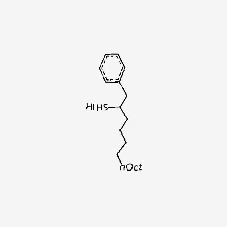 CCCCCCCCCCCCC(S)Cc1ccccc1.I